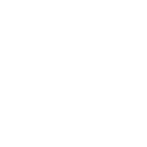 OC(CCNC(c1ccccc1)(c1ccccc1)c1ccccc1)Cc1ccccc1